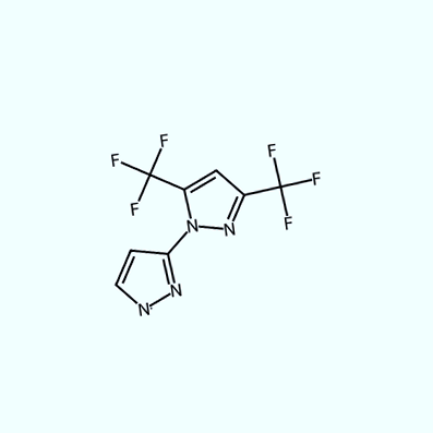 FC(F)(F)c1cc(C(F)(F)F)n(C2=N[N]C=C2)n1